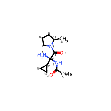 COC(=O)NC(N)(C(=O)N1CCC[C@H]1C)C1CC1